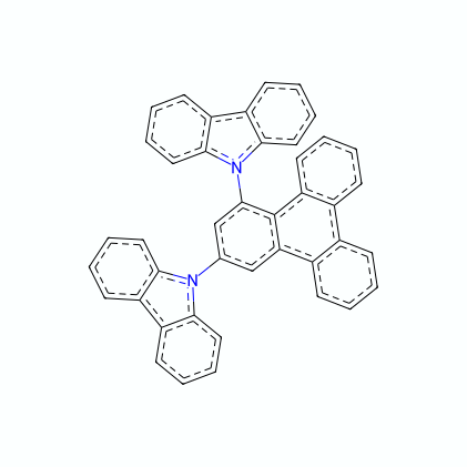 c1ccc2c(c1)c1ccccc1c1c(-n3c4ccccc4c4ccccc43)cc(-n3c4ccccc4c4ccccc43)cc21